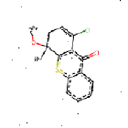 CCCOC1(C(C)C)CC=C(Cl)c2c1sc1ccccc1c2=O